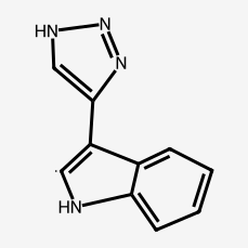 [c]1[nH]c2ccccc2c1-c1c[nH]nn1